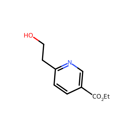 CCOC(=O)c1ccc(CCO)nc1